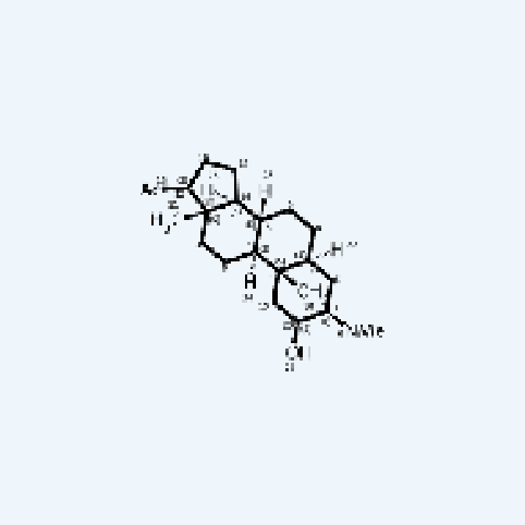 CN[C@@H]1C[C@@H]2CC[C@@H]3[C@H](CC[C@]4(C)[C@@H](C(C)=O)CC[C@@H]34)[C@@]2(C)C[C@@H]1O